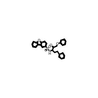 O=C(COc1ccccc1)C(CCc1ccccc1)NS(=O)(=O)c1ccc2oc3ccccc3c2c1